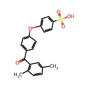 Cc1ccc(C)c(C(=O)c2ccc(Oc3ccc(S(=O)(=O)O)cc3)cc2)c1